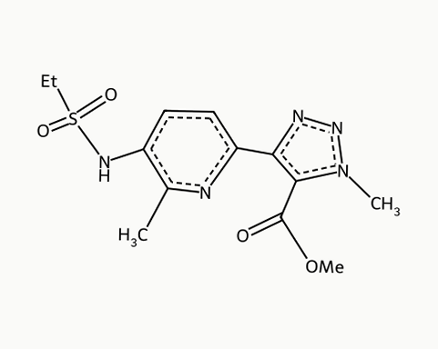 CCS(=O)(=O)Nc1ccc(-c2nnn(C)c2C(=O)OC)nc1C